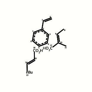 C=Cc1ccccc1.CC=C(C)C(=O)O.CCCCC=CC(=O)O